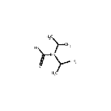 CC(C)[SH](C(=S)S)C(C)C